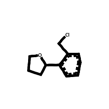 ClCc1ccccc1C1CCCO1